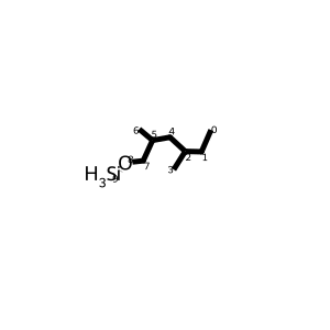 CCC(C)CC(C)CO[SiH3]